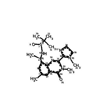 Cc1cc([C@@H](C)N[S+]([O-])C(C)(C)C)c2nc(-c3nccn3C)n(C)c(=O)c2c1